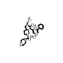 CCN(CC1CCN(C(=O)N2CCOCC2)CC1)C(C)CC1=COC=C(C2=CC=CCC2)O1.Cl